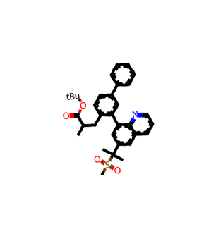 CC(Cc1ccc(-c2ccccc2)cc1-c1cc(C(C)(C)S(C)(=O)=O)cc2cccnc12)C(=O)OC(C)(C)C